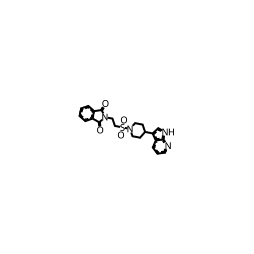 O=C1c2ccccc2C(=O)N1CCS(=O)(=O)N1CCC(c2c[nH]c3ncccc23)CC1